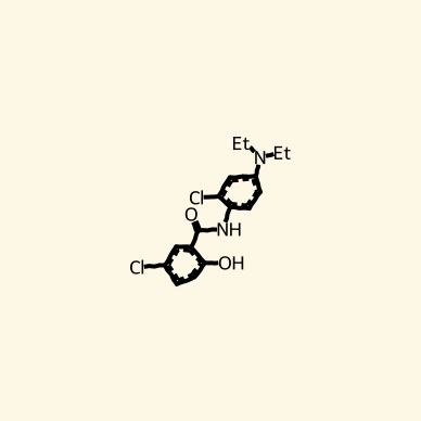 CCN(CC)c1ccc(NC(=O)c2cc(Cl)ccc2O)c(Cl)c1